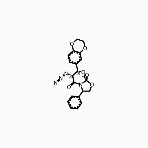 [N-]=[N+]=N[C@H](C(=O)N1C(=O)OCC1c1ccccc1)[C@H](O)c1ccc2c(c1)OCCO2